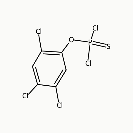 S=P(Cl)(Cl)Oc1cc(Cl)c(Cl)cc1Cl